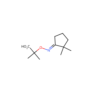 CC1(C)CCCC1=NOC(C)(C)C(=O)O